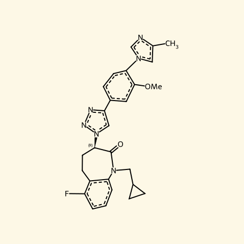 COc1cc(-c2cn([C@@H]3CCc4c(F)cccc4N(CC4CC4)C3=O)nn2)ccc1-n1cnc(C)c1